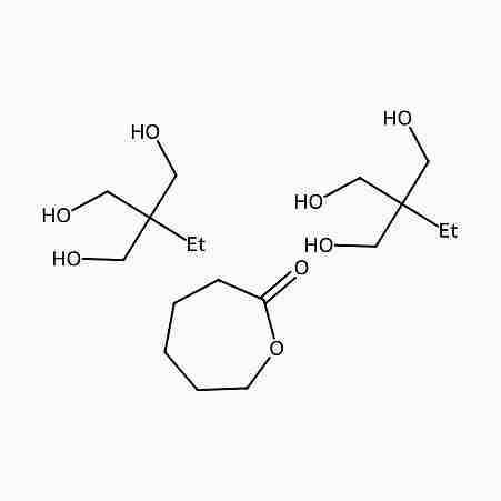 CCC(CO)(CO)CO.CCC(CO)(CO)CO.O=C1CCCCCO1